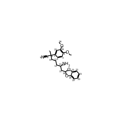 COc1ccc(C(C)(C#N)CCCC(N)CC2Oc3ccccc3O2)cc1OC